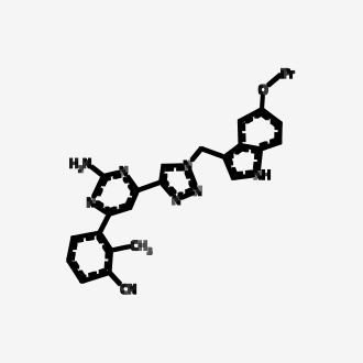 Cc1c(C#N)cccc1-c1cc(-c2cn(Cc3c[nH]c4ccc(OC(C)C)cc34)nn2)nc(N)n1